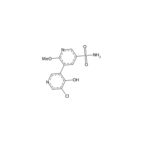 COc1ncc(S(N)(=O)=O)cc1-c1cncc(Cl)c1O